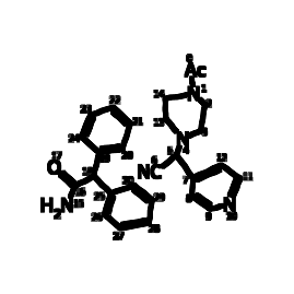 CC(=O)N1CCN(C(C#N)c2ccncc2)CC1.NC(=O)C(c1ccccc1)c1ccccc1